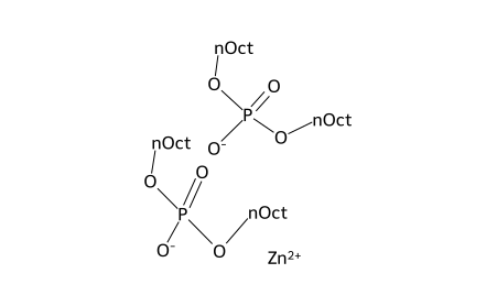 CCCCCCCCOP(=O)([O-])OCCCCCCCC.CCCCCCCCOP(=O)([O-])OCCCCCCCC.[Zn+2]